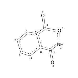 O=c1[nH]oc(=O)c2ccccc12